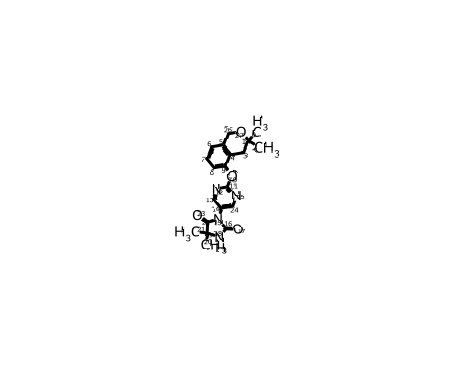 CC1(C)Cc2c(cccc2Oc2ncc(N3C(=O)NC(C)(C)C3=O)cn2)CO1